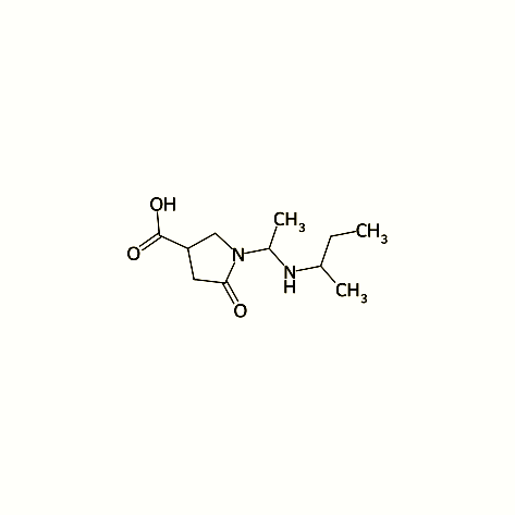 CCC(C)NC(C)N1CC(C(=O)O)CC1=O